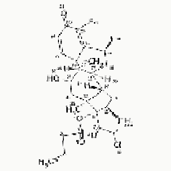 CCCC(=O)O[C@@]1(C(=O)CCl)[C@H](C)C[C@H]2[C@@H]3C[C@H](F)C4=C(F)C(=O)C=C[C@]4(C)[C@H]3[C@@H](O)C[C@@]21C